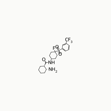 N[C@@H]1CCCC[C@H]1C(=O)NC1CCC(F)(S(=O)(=O)c2cccc(C(F)(F)F)c2)CC1